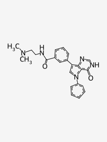 CN(C)CCNC(=O)c1cccc(-c2cn(-c3ccccc3)c3c(=O)[nH]cnc23)c1